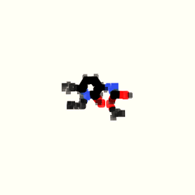 COn1c(C(F)(F)F)ccc(NC(=O)OC(C)(C)C)c1=O